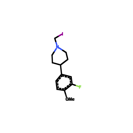 COc1ccc(C2CCN(CI)CC2)cc1F